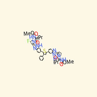 COC(=O)N[C@H](C(=O)N1CCC[C@H]1c1nc2ccc(-c3cc(-c4ccccc4)c(-c4ccc5nc([C@@H]6CC(F)CN6C(=O)[C@@H](NC(=O)OC)C(C)C)[nH]c5c4)s3)cc2[nH]1)C(C)C